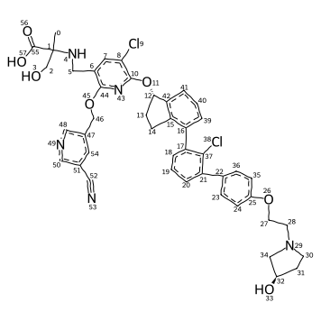 CC(CO)(NCc1cc(Cl)c(O[C@H]2CCc3c(-c4cccc(-c5ccc(OCCN6CC[C@@H](O)C6)cc5)c4Cl)cccc32)nc1OCc1cncc(C#N)c1)C(=O)O